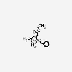 CCOC(=O)C=C(CC(C)C)C(=O)OCc1ccccc1